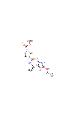 C[C@@H](NC(=O)C1CCN(C(=O)OC(C)(C)C)C1)c1cnc(OCC(F)(F)F)s1